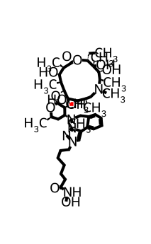 CC[C@H]1OC(=O)[C@H](C)[C@@H](O)[C@H](C)[C@@H](O[C@@H]2O[C@H](C)C[C@H](N(C)Cc3ccccc3-c3cn(CCCCCCC(=O)NO)nn3)[C@H]2O)[C@](C)(O)C[C@@H](C)CN(C)[C@H](C)[C@@H](O)[C@]1(C)O